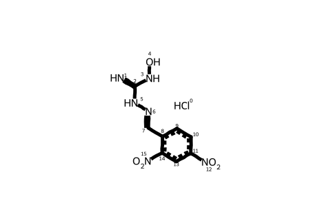 Cl.N=C(NO)NN=Cc1ccc([N+](=O)[O-])cc1[N+](=O)[O-]